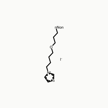 CCCCCCCCCCCCOCCCC[n+]1ccsc1.[I-]